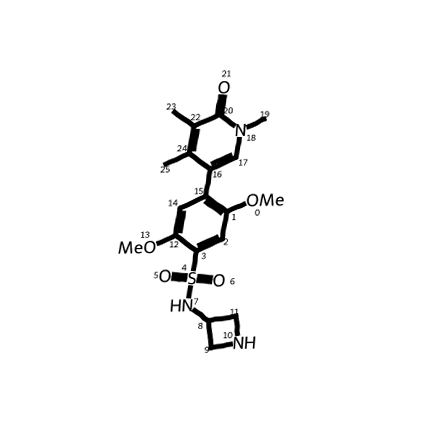 COc1cc(S(=O)(=O)NC2CNC2)c(OC)cc1-c1cn(C)c(=O)c(C)c1C